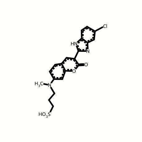 CN(CCCS(=O)(=O)O)c1ccc2cc(-c3nc4cc(Cl)ccc4[nH]3)c(=O)oc2c1